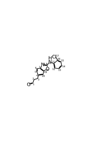 O=CCCc1ccc2nc(Nc3ccccc3Cl)oc2c1